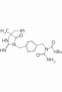 CCCCC(=O)N(Cc1ccc(CN2C(=N)NC(C)(CC(C)C)C2=O)cc1)C(N)=O